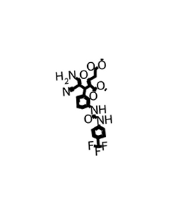 COC(=O)CC1=C(C(=O)OC)C(c2cccc(NC(=O)Nc3ccc(C(F)(F)F)cc3)c2)C(C#N)=C(N)O1